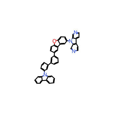 c1cc(-c2cccc(-n3c4ccccc4c4ccccc43)c2)cc(-c2ccc3oc4ccc(-n5c6cnccc6c6ccncc65)cc4c3c2)c1